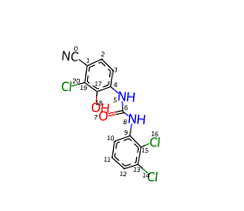 N#Cc1ccc(NC(=O)Nc2cccc(Cl)c2Cl)c(O)c1Cl